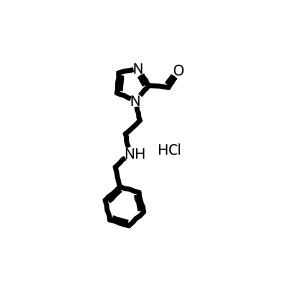 Cl.O=Cc1nccn1CCNCc1ccccc1